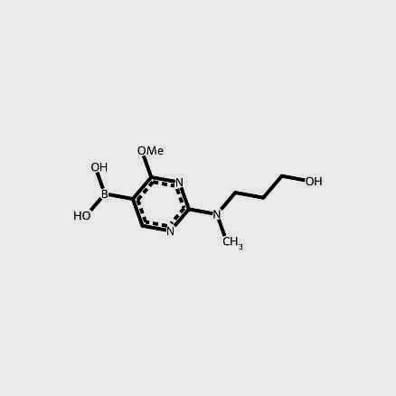 COc1nc(N(C)CCCO)ncc1B(O)O